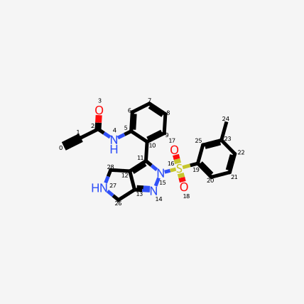 C#CC(=O)Nc1ccccc1-c1c2c(nn1S(=O)(=O)c1cccc(C)c1)CNC2